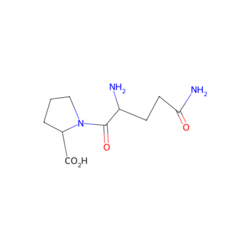 NC(=O)CCC(N)C(=O)N1CCCC1C(=O)O